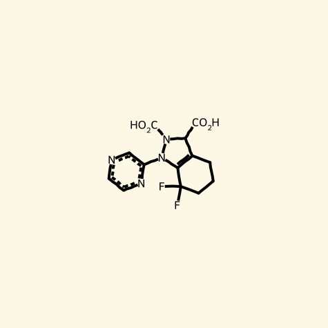 O=C(O)C1C2=C(N(c3cnccn3)N1C(=O)O)C(F)(F)CCC2